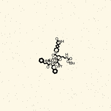 CC(C)CC(NC(=O)C(Cc1ccccc1)NC(=O)C(Cc1ccccc1)NC(=O)O)C(=O)NC(CCCCNC(=O)OC(C)(C)C)C(=O)N1CCC2(CC1)CC1(CNC(=O)C1)C2